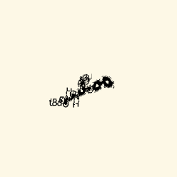 CC(C)(C)OC(=O)NCC(=O)N[C@H]1C[C@H](COc2ccc(-c3ccccc3)cc2)N(C(=O)OC(C)(C)C)C1